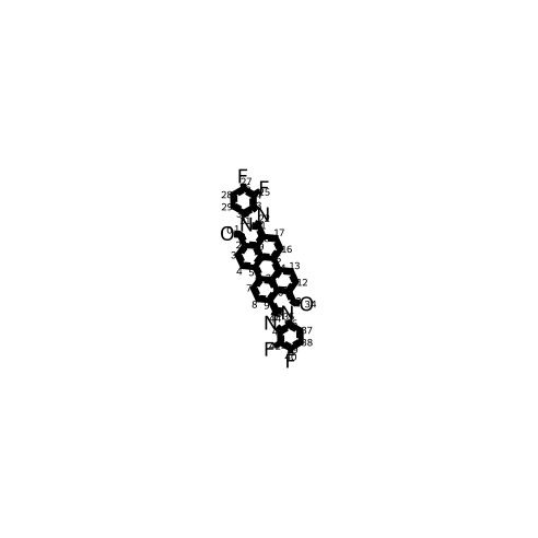 O=c1c2ccc3c4ccc5c6c(ccc(c7ccc(c2c37)c2nc3c(F)c(F)ccc3n12)c46)c(=O)n1c2ccc(F)c(F)c2nc51